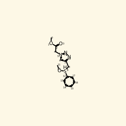 COC(=O)Cn1cc(C[SH](OC)c2ccccc2)nn1